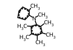 Cc1ccccc1N(C)c1c(C)c(C)c(C)c(C)c1C